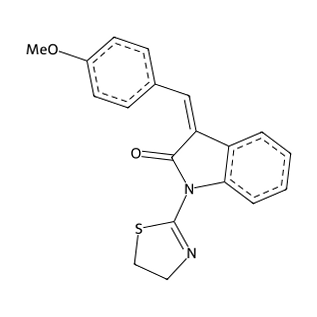 COc1ccc(C=C2C(=O)N(C3=NCCS3)c3ccccc32)cc1